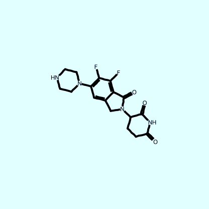 O=C1CCC(N2Cc3cc(N4CCNCC4)c(F)c(F)c3C2=O)C(=O)N1